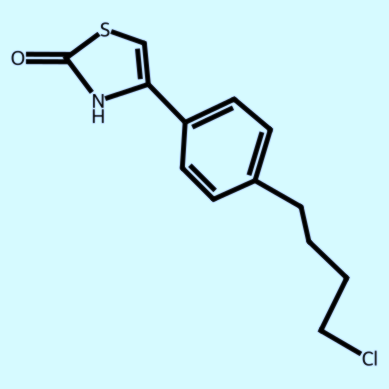 O=c1[nH]c(-c2ccc(CCCCCl)cc2)cs1